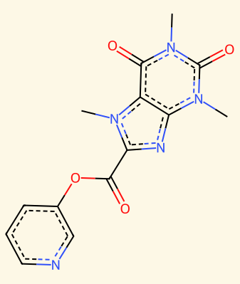 Cn1c(=O)c2c(nc(C(=O)Oc3cccnc3)n2C)n(C)c1=O